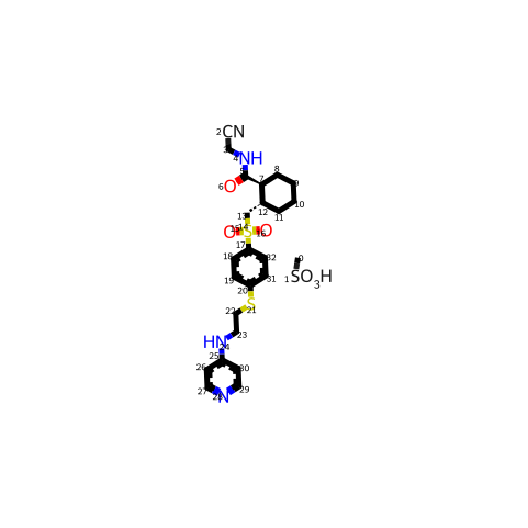 CS(=O)(=O)O.N#CCNC(=O)[C@H]1CCCC[C@@H]1CS(=O)(=O)c1ccc(SCCNc2ccncc2)cc1